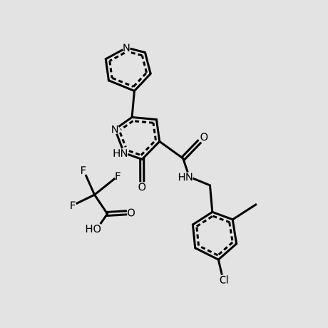 Cc1cc(Cl)ccc1CNC(=O)c1cc(-c2ccncc2)n[nH]c1=O.O=C(O)C(F)(F)F